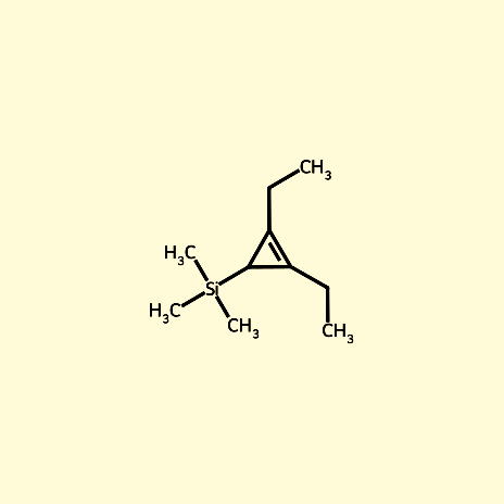 CCC1=C(CC)C1[Si](C)(C)C